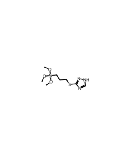 CO[Si](CCCSc1nc[nH]n1)(OC)OC